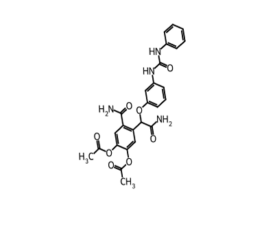 CC(=O)Oc1cc(C(N)=O)c(C(Oc2cccc(NC(=O)Nc3ccccc3)c2)C(N)=O)cc1OC(C)=O